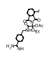 CCO[C@](OC(C)=O)(C(=O)NCc1ccc(C(=N)N)cc1)N1C(=O)c2cccc(F)c2C1=O